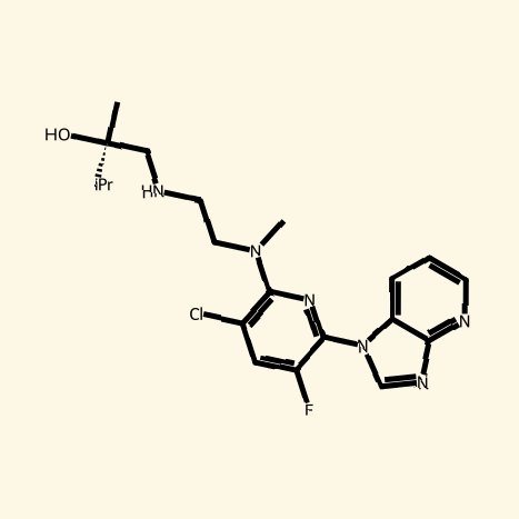 CC(C)[C@@](C)(O)CNCCN(C)c1nc(-n2cnc3ncccc32)c(F)cc1Cl